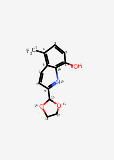 Oc1ccc(C(F)(F)F)c2ccc(C3OCCO3)nc12